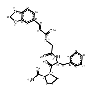 NC(=O)[C@@H]1CCCN1C(=O)[C@H](Cc1ccccc1)NC(=O)CNC(=O)C=Cc1ccc2c(c1)OCO2